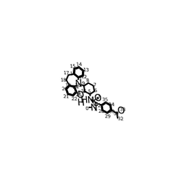 CN=S(=O)(NC1CCCC(N2c3ccccc3CCc3ccccc32)C1O)c1ccc(C(C)=O)cc1